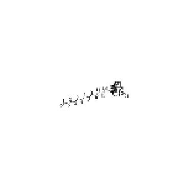 C=CCCCCCCCCCCCCCC[Si](Cl)(Cl)CCC